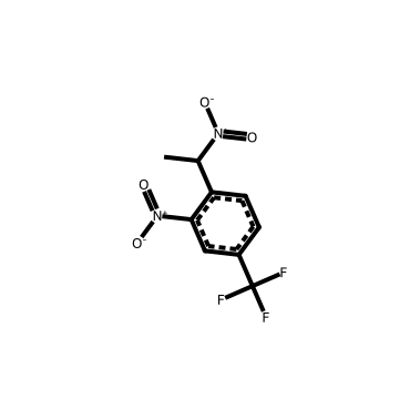 CC(c1ccc(C(F)(F)F)cc1[N+](=O)[O-])[N+](=O)[O-]